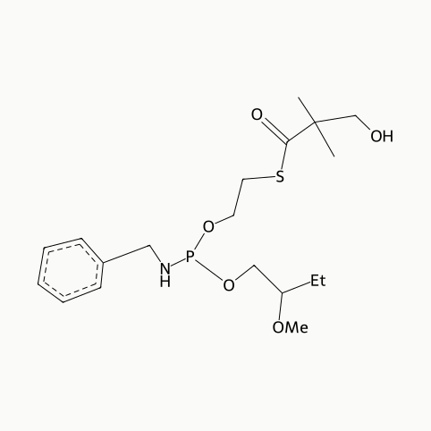 CCC(COP(NCc1ccccc1)OCCSC(=O)C(C)(C)CO)OC